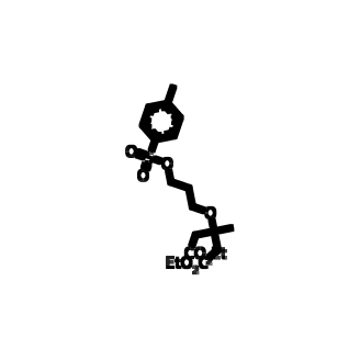 CCOC(=O)CC(C)(CC(=O)OCC)OCCCOS(=O)(=O)c1ccc(C)cc1